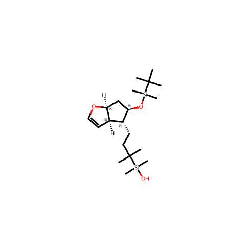 CC(C)(CC[C@@H]1[C@H]2C=CO[C@H]2C[C@H]1O[Si](C)(C)C(C)(C)C)[Si](C)(C)O